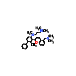 Cc1c(-c2ccccc2)ccc(N(C)CCCN(C)C)c1C(=O)C=Cc1ccccc1CN(C)C